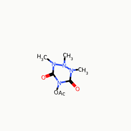 CC(=O)ON1C(=O)N(C)N(C)N(C)C1=O